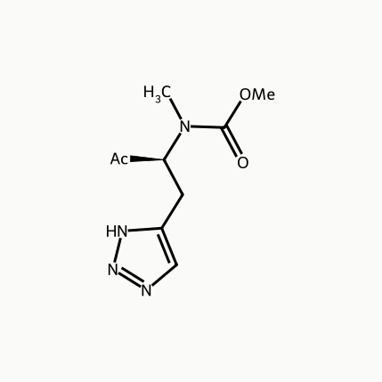 COC(=O)N(C)[C@@H](Cc1cnn[nH]1)C(C)=O